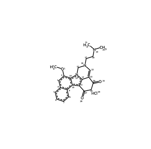 COc1cc2ccccc2c2c3c4n(c12)CN(CCN(C)C)C=C4C(=O)CC3=O.Cl